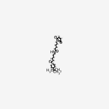 CC(C)(C)C1CCN(C(=O)CCCCCNC(=O)CCCCCN2C(=O)C=CC2=O)CC1